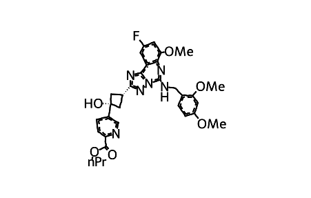 CCCOC(=O)c1ccc([C@]2(O)C[C@@H](c3nc4c5cc(F)cc(OC)c5nc(NCc5ccc(OC)cc5OC)n4n3)C2)cn1